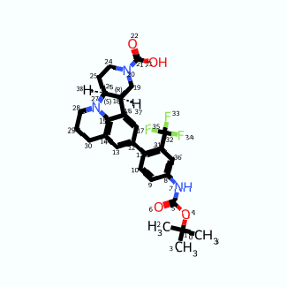 CC(C)(C)OC(=O)Nc1ccc(-c2cc3c4c(c2)[C@@H]2CN(C(=O)O)CC[C@@H]2N4CCC3)c(C(F)(F)F)c1